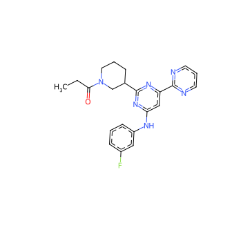 CCC(=O)N1CCCC(c2nc(Nc3cccc(F)c3)cc(-c3ncccn3)n2)C1